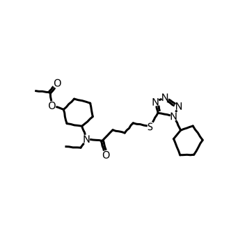 CCN(C(=O)CCCSc1nnnn1C1CCCCC1)C1CCCC(OC(C)=O)C1